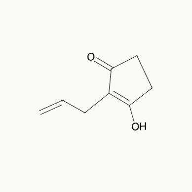 C=CCC1=C(O)CCC1=O